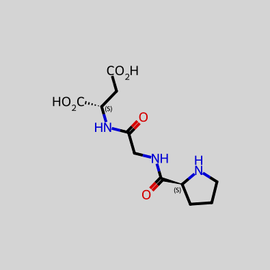 O=C(O)C[C@H](NC(=O)CNC(=O)[C@@H]1CCCN1)C(=O)O